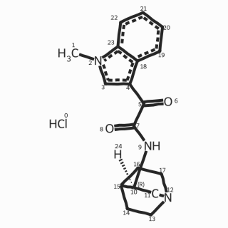 Cl.Cn1cc(C(=O)C(=O)N[C@H]2CN3CCC2CC3)c2ccccc21